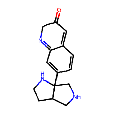 O=C1C=c2ccc(C34CNCC3CCN4)cc2=NC1